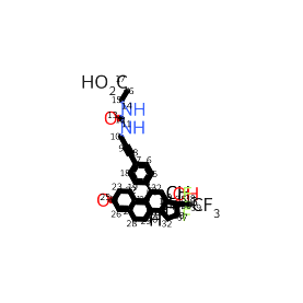 C[C@]12C[C@H](c3ccc(C#CCNC(=O)NCCC(=O)O)cc3)C3=C4CCC(=O)C=C4CC[C@H]3[C@@H]1CC[C@@]2(O)C(F)(F)C(F)(F)F